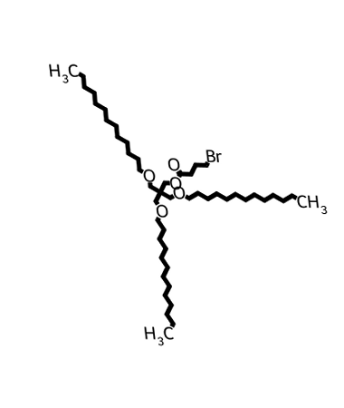 CCCCCCCCCCCCCOCC(COCCCCCCCCCCCCC)(COCCCCCCCCCCCCC)COC(=O)CCCBr